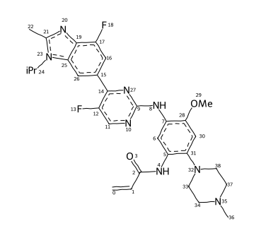 C=CC(=O)Nc1cc(Nc2ncc(F)c(-c3cc(F)c4nc(C)n(C(C)C)c4c3)n2)c(OC)cc1N1CCN(C)CC1